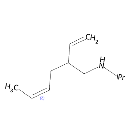 C=CC(C/C=C\C)CNC(C)C